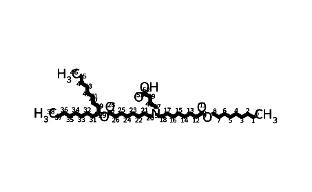 CCCCCCCCCOC(=O)CCCCCCCN(CCCCCCCC(=O)OC(CCCCCCCC)CCCCCCCC)CCCC(=O)O